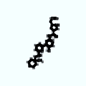 COC[C@@H]1C[C@@H](C(=O)Nc2cc(-c3cccc(NCC4(C)CCOCC4)n3)c(Cl)cn2)CN1